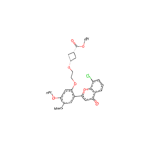 CCCOc1cc(OCCO[C@H]2C[C@@H](C(=O)OCCC)C2)c(-c2cc(=O)c3cccc(Cl)c3o2)cc1OC